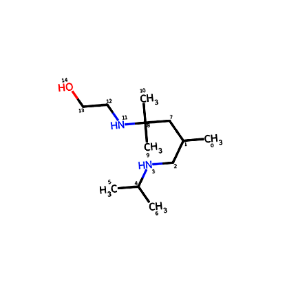 CC(CNC(C)C)CC(C)(C)NCCO